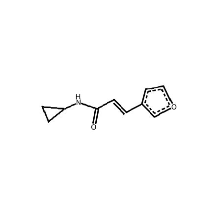 O=C(/C=C/c1ccoc1)NC1CC1